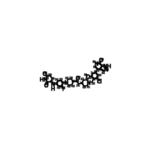 COc1cc(-c2cn(C)c(=O)c3[nH]ncc23)cc(Cl)c1CN1CCC(CC(=O)C2CCN(c3ccc(NC4CCC(=O)NC4=O)cc3F)CC2)CC1